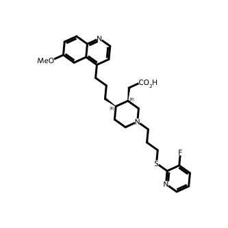 COc1ccc2nccc(CCC[C@@H]3CCN(CCCSc4ncccc4F)C[C@@H]3CC(=O)O)c2c1